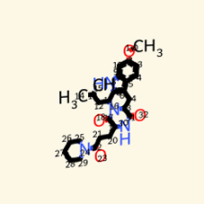 COc1ccc2c3c([nH]c2c1)C(CC(C)C)N1C(=O)C(CCC(=O)N2CCCCC2)NC(=O)C1C3